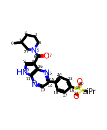 CC1CCCN(C(=O)c2c[nH]c3ncc(-c4ccc(S(=O)(=O)C(C)C)cc4)nc23)C1